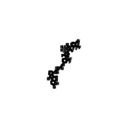 CC1(C)C(=O)N(c2ccc(C#N)c(C(F)(F)F)c2F)C(=S)N1c1cnc(-c2ccc(OCC(=O)NCCNc3cccc4c3C(=O)N(C3CCC(=O)NC3=O)C4=O)cc2C(F)(F)F)c(F)c1